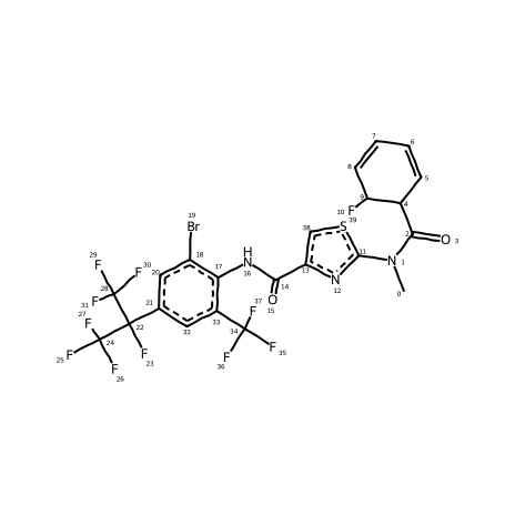 CN(C(=O)C1C=CC=CC1F)c1nc(C(=O)Nc2c(Br)cc(C(F)(C(F)(F)F)C(F)(F)F)cc2C(F)(F)F)cs1